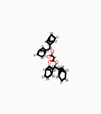 O=C(CC(=O)OC(C1CC2CCC1C2)C1CC2CCC1C2)OC(C1CC2CCC1C2)C1CC2CCC1C2